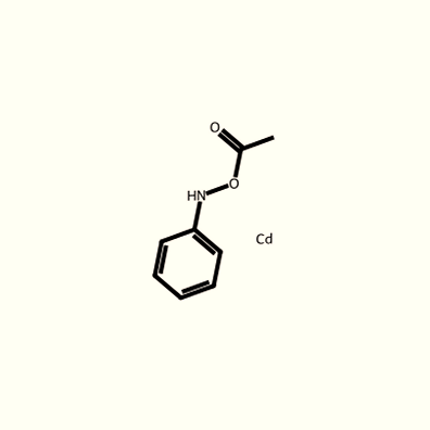 CC(=O)ONc1ccccc1.[Cd]